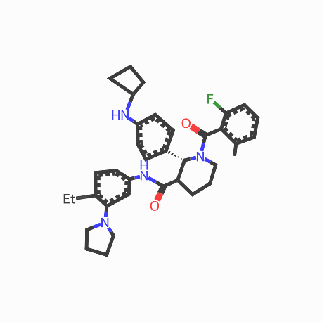 CCc1ccc(NC(=O)C2CCCN(C(=O)c3c(C)cccc3F)[C@H]2c2ccc(NC3CCC3)cc2)cc1N1CCCC1